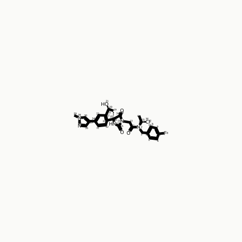 C[C@H](N(Cc1ccc(F)cc1)C(=O)CN1C(=O)N[C@]2(C[C@H](O)c3cc(-c4cnn(C)c4)ccc32)C1=O)C(F)(F)F